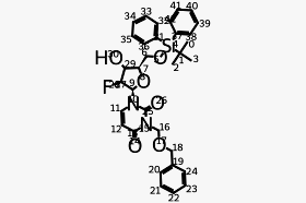 CC(C)(C)[Si](OC[C@H]1O[C@@H](n2ccc(=O)n(COCc3ccccc3)c2=O)C(F)C1O)(c1ccccc1)c1ccccc1